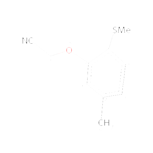 CSc1ccc(C)cc1OCC#N